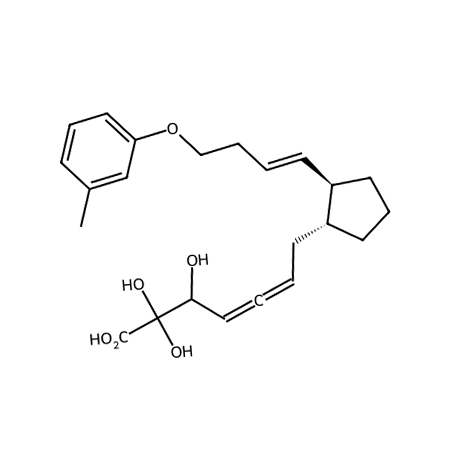 Cc1cccc(OCC/C=C/[C@H]2CCC[C@@H]2CC=C=CC(O)C(O)(O)C(=O)O)c1